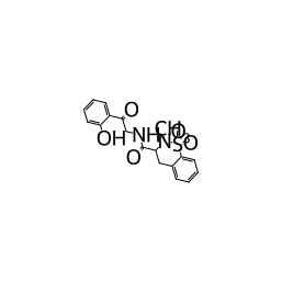 CN1C(C(=O)NCC(=O)c2ccccc2O)Cc2ccccc2S1(=O)=O